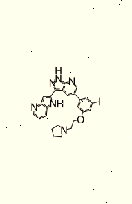 Ic1cc(OCCN2CCCC2)cc(-c2cnc3[nH]nc(-c4cc5ncccc5[nH]4)c3c2)c1